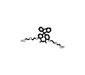 CC(C)c1cc(C2(c3ccc(OCCOCCO)c(C(C)C)c3)c3ccccc3-c3ccccc32)ccc1OCCOCCO